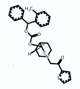 Cc1ccccc1C(OC(=O)O[C@H]1C[N+]2(CC(=O)c3cccs3)CCC1CC2)c1ccccc1